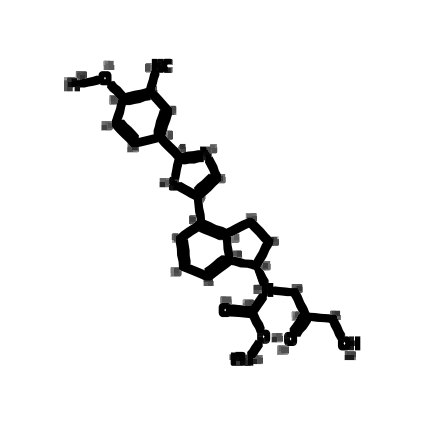 [C-]#[N+]c1cc(-c2ncc(-c3cccc4c3CC[C@H]4N(CC(=O)CO)C(=O)OC(C)(C)C)s2)ccc1OC(C)C